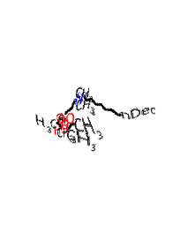 CCCCCCCCCCCCCCCCCC[N+](C)(C)CCC[Si]1(OC(C)C(C)O)OC(C)C(C)O1